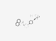 CC(NC1CCCC(c2ccc(C#CC(C)(C)N)cc2)C1)c1cccc2ccccc12